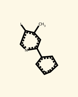 Cc1cc(-c2ccccc2)ncc1I